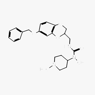 CN1CCC(N(C)C(=O)NCC2COc3ccc(OCc4ccccc4)cc3O2)CC1